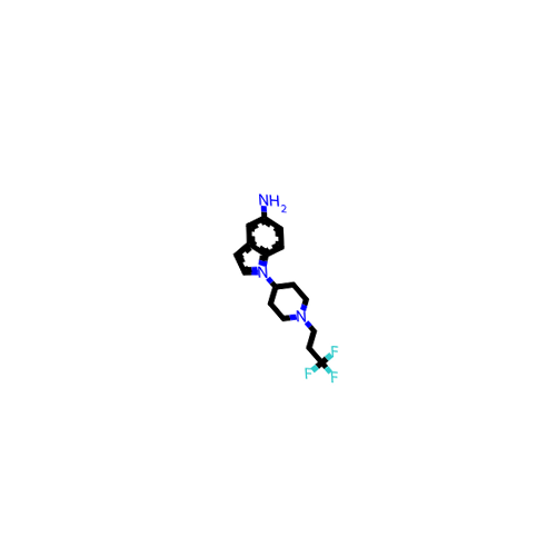 Nc1ccc2c(ccn2C2CCN(CCC(F)(F)F)CC2)c1